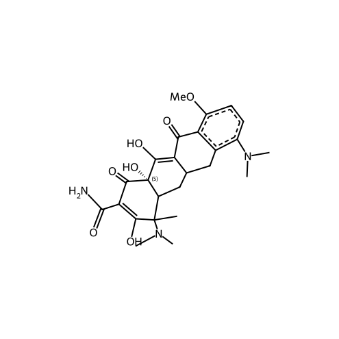 COc1ccc(N(C)C)c2c1C(=O)C1=C(O)[C@]3(O)C(=O)C(C(N)=O)=C(O)C(C)(N(C)C)C3CC1C2